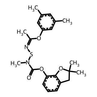 CC(=NSN(C)C(=O)Oc1cccc2c1OC(C)(C)C2)Oc1cc(C)cc(C)c1